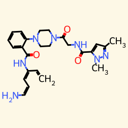 C=C/C(=C\C=C/N)NC(=O)c1ccccc1N1CCN(C(=O)CNC(=O)c2cc(C)nn2C)CC1